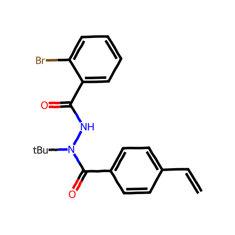 C=Cc1ccc(C(=O)N(NC(=O)c2ccccc2Br)C(C)(C)C)cc1